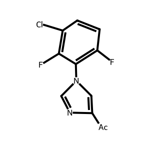 CC(=O)c1cn(-c2c(F)ccc(Cl)c2F)cn1